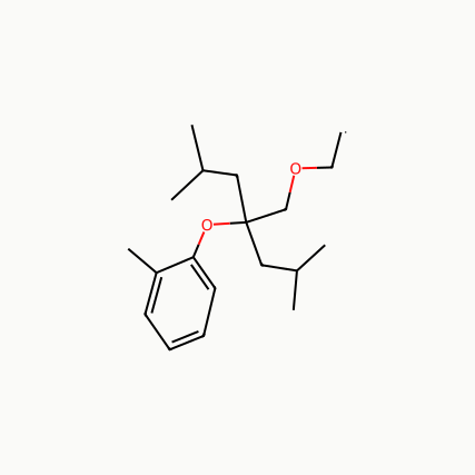 [CH2]COCC(CC(C)C)(CC(C)C)Oc1ccccc1C